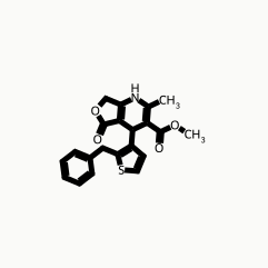 COC(=O)C1=C(C)NC2=C(C(=O)OC2)C1c1ccsc1Cc1ccccc1